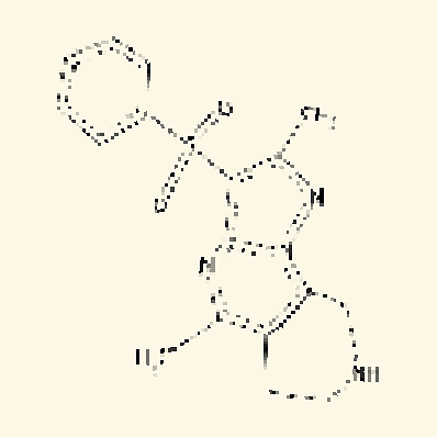 Cc1nc2c(S(=O)(=O)c3ccccc3)c(C)nn2c2c1CCNC2